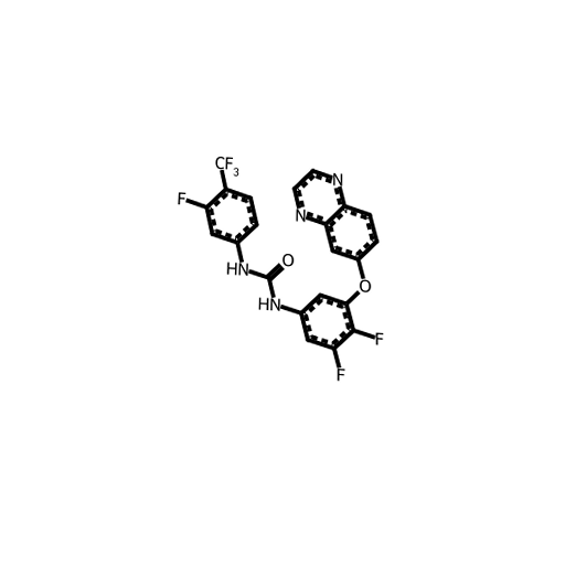 O=C(Nc1ccc(C(F)(F)F)c(F)c1)Nc1cc(F)c(F)c(Oc2ccc3nccnc3c2)c1